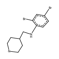 Brc1ccc(NCC2CC[N]CC2)c(Br)c1